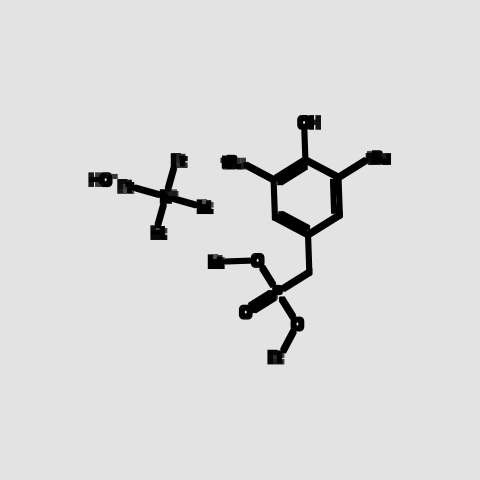 CCOP(=O)(Cc1cc(C(C)(C)C)c(O)c(C(C)(C)C)c1)OCC.CC[N+](CC)(CC)CC.[OH-]